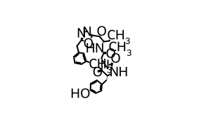 Cc1cccc(Cc2nnc(C(=O)[C@@H](NC(=O)CN3C(=O)N[C@H](Cc4ccc(O)cc4)C3=O)C(C)C)o2)c1